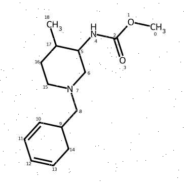 COC(=O)NC1CN(CC2C=CC=CC2)CCC1C